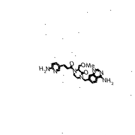 COCC1C(=O)N(Cc2ccc3c(N)ncnc3c2)CCN1C(=O)/C=C/c1ccc(N)nc1